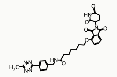 Cc1nnc(-c2ccc(CNC(=O)CCCCCCOc3cccc4c3C(=O)N(C3CCC(=O)NC3=O)C4=O)cc2)nn1